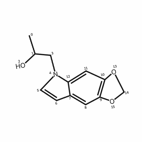 CC(O)Cn1ccc2cc3c(cc21)OCO3